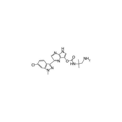 Cn1nc(-c2cnc3[nH]cc(OC(=O)NC(C)(C)CN)c3n2)c2ccc(Cl)cc21